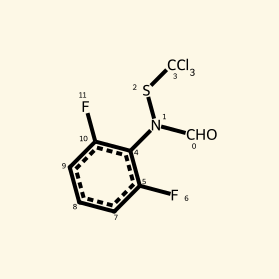 O=CN(SC(Cl)(Cl)Cl)c1c(F)cccc1F